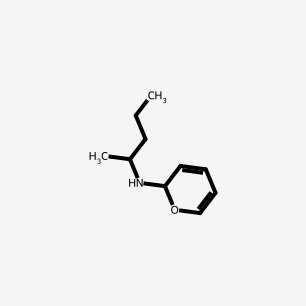 CCCC(C)N[C]1C=CC=CO1